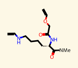 C=CNCCCC[C@H](NC(=O)COC=C)C(=O)NC